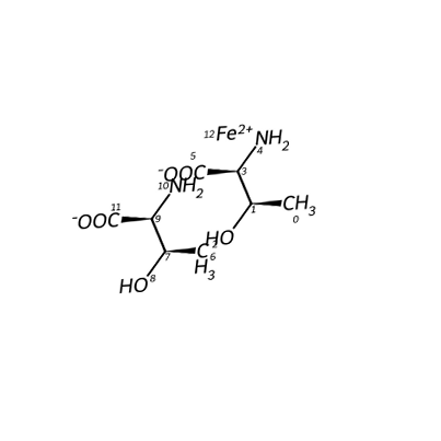 C[C@@H](O)[C@H](N)C(=O)[O-].C[C@@H](O)[C@H](N)C(=O)[O-].[Fe+2]